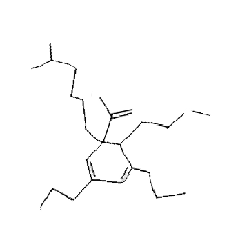 CCCC1=CC(CCCCC(C)C)(C(=O)O)C(CCOC)C(CCC)=C1